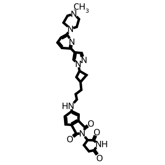 CN1CCN(c2cccc(-c3cnn(C4CC(CCCNc5ccc6c(c5)C(=O)N(C5CCC(=O)NC5=O)C6=O)C4)c3)n2)CC1